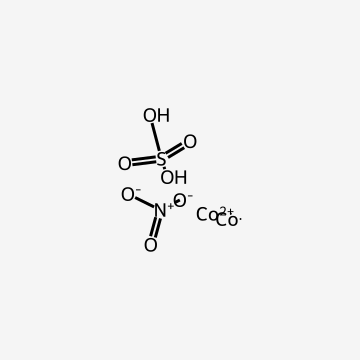 O=S(=O)(O)O.O=[N+]([O-])[O-].[Co+2].[Co]